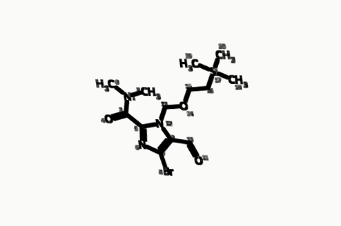 CN(C)C(=O)c1nc(Br)c(C=O)n1COCC[Si](C)(C)C